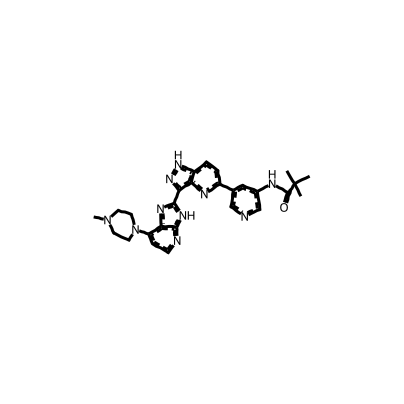 CN1CCN(c2ccnc3[nH]c(-c4n[nH]c5ccc(-c6cncc(NC(=O)C(C)(C)C)c6)nc45)nc23)CC1